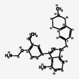 C=Nc1cc(-c2nn(Cc3ccc4c(c3)CCN(C)C4)c3ncnc(N)c23)ccc1OCN